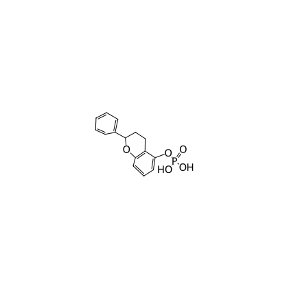 O=P(O)(O)Oc1cccc2c1CCC(c1ccccc1)O2